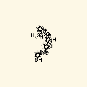 COC1C(C(=O)NC(CC(=O)c2c(Cl)cc(C(=O)NCc3cccc(O)c3)cc2Cl)C(=O)O)=Nc2ccccc21